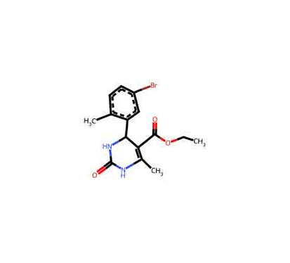 CCOC(=O)C1=C(C)NC(=O)NC1c1cc(Br)ccc1C